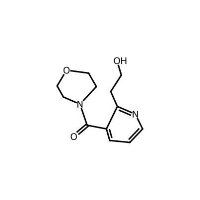 O=C(c1cccnc1CCO)N1CCOCC1